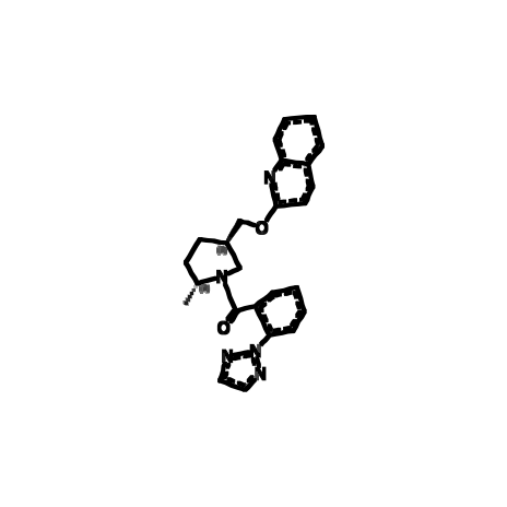 C[C@@H]1CC[C@@H](COc2ccc3ccccc3n2)CN1C(=O)c1ccccc1-n1nccn1